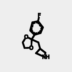 Fc1ccc(C2(CC3CNC3)OCCO2)cc1